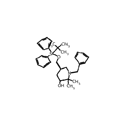 CC1(C)C(O)CC(CO[Si](c2ccccc2)(c2ccccc2)C(C)(C)C)CN1Cc1ccccc1